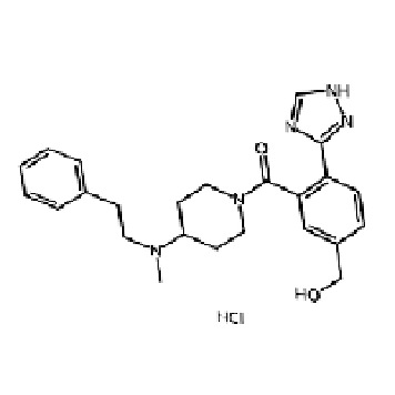 CN(CCc1ccccc1)C1CCN(C(=O)c2cc(CO)ccc2-c2nc[nH]n2)CC1.Cl